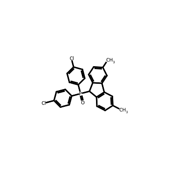 Cc1ccc2c(c1)-c1cc(C)ccc1C2P(=O)(c1ccc(Cl)cc1)c1ccc(Cl)cc1